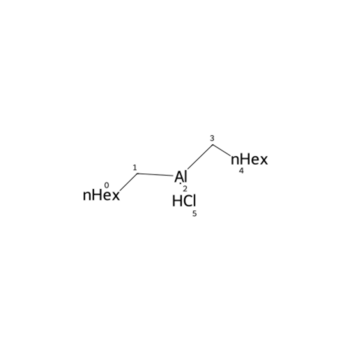 CCCCCC[CH2][Al][CH2]CCCCCC.Cl